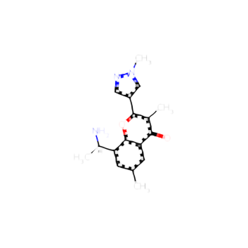 Cc1cc([C@@H](C)N)c2oc(-c3cnn(C)c3)c(C)c(=O)c2c1